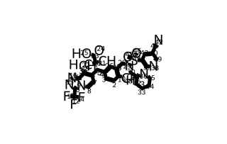 Cc1ccc([C@H](c2ccn3c(C(F)(F)F)nnc3c2C)C(C)(C)C(=O)O)cc1CN1C[C@H]2CCCCN2c2ncc(C#N)cc2S1(=O)=O